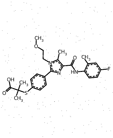 COCCn1c(-c2ccc(SC(C)(C)C(=O)O)cc2)nc(C(=O)Nc2ccc(F)cc2C)c1C